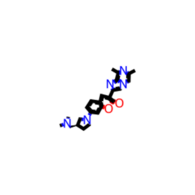 Cc1cn2cc(-c3cc4ccc(N5CC[C@@H](CN(C)C)C5)cc4oc3=O)nc2c(C)n1